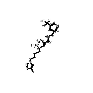 Cc1cn(CCCCN(N)/C=C(\N)C(=O)NCc2cncc(C(F)(F)F)c2)nn1